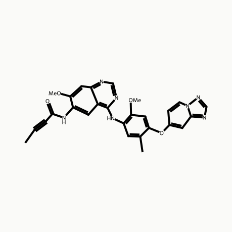 CC#CC(=O)Nc1cc2c(Nc3cc(C)c(Oc4ccn5ncnc5c4)cc3OC)ncnc2cc1OC